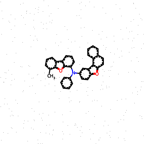 Cc1cccc2c1oc1c(N(c3ccccc3)c3ccc4oc5ccc6ccccc6c5c4c3)cccc12